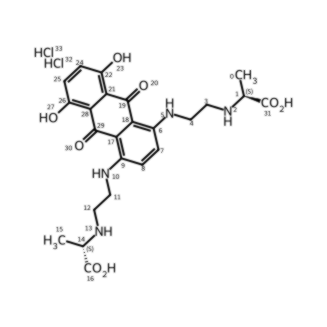 C[C@H](NCCNc1ccc(NCCN[C@@H](C)C(=O)O)c2c1C(=O)c1c(O)ccc(O)c1C2=O)C(=O)O.Cl.Cl